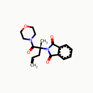 C=CC[C@](C)(C(=O)N1CCOCC1)N1C(=O)c2ccccc2C1=O